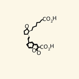 O=C(O)CCCCCC[C@@H]1C(=O)CC[C@H]1C=Cc1ccc2oc(=O)c(C(=O)O)cc2c1